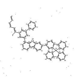 C=C/C=C\C=C(/C)c1nc(-c2ccccc2)nc(-c2cccc3c2oc2cc(-c4ccc5c(c4)C4(c6ccccc6-c6ccccc64)c4ccccc4-5)ccc23)n1